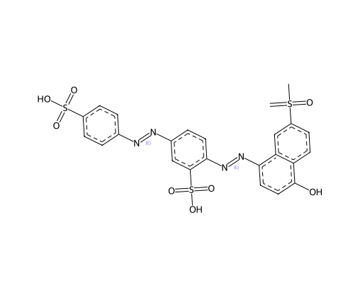 C=S(C)(=O)c1ccc2c(O)ccc(/N=N/c3ccc(/N=N/c4ccc(S(=O)(=O)O)cc4)cc3S(=O)(=O)O)c2c1